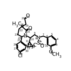 COc1cccc(CN(CC(C2CC2)N2C(=O)[C@@](C)(CC=O)CCC2c2ccc(Cl)cc2)[S+](C)[O-])c1